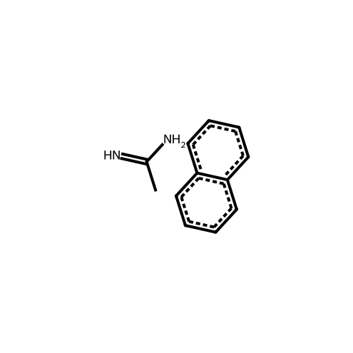 CC(=N)N.c1ccc2ccccc2c1